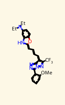 CCN(CC)c1ccc2c(c1)N/C(=C/C=C/C=c1/c(C(F)(F)F)nn3c(-c4ccccc4OC)nnc13)O2